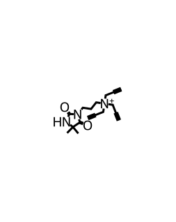 C#CC[N+](CC#C)(CC#C)CCCN1C(=O)NC(C)(C)C1=O